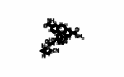 N#C[C@@H]1C[C@@H]2C[C@@H]2N1C(=O)CNC1(CC2(c3nnn[nH]3)c3ccc(C(N)=O)cc3CCc3cc(C(N)=O)ccc32)CC1